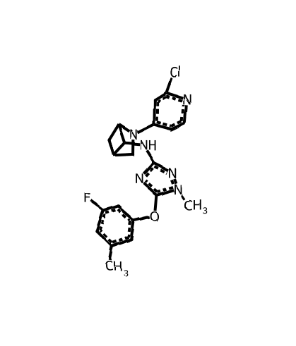 Cc1cc(F)cc(Oc2nc(NC3C4CC3N(c3ccnc(Cl)c3)C4)nn2C)c1